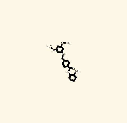 COc1cc(NCc2ccc(C(=O)Nc3ccccc3N)cc2)cc(OC)c1